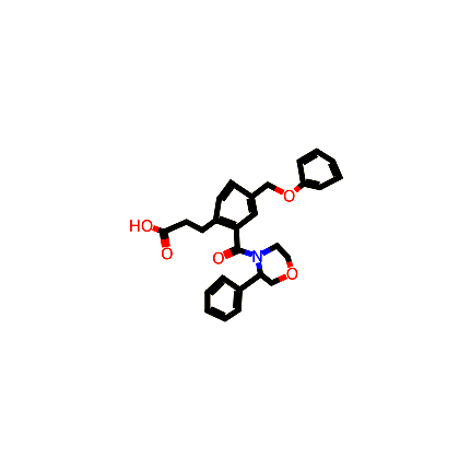 O=C(O)CCc1ccc(COc2ccccc2)cc1C(=O)N1CCOCC1c1ccccc1